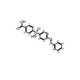 N=S(=O)(c1ccc(C(=O)O)cc1)c1ccc(OCc2ccccc2)nc1